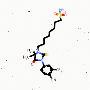 CC1(C)C(=O)N(c2ccc(C#N)c(C(F)(F)F)c2)C(=S)N1CCCCCCCCS(N)(=O)=O